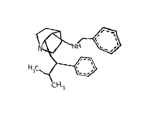 CC(C)C(c1ccccc1)C1C(NCc2ccccc2)C2CCN1CC2